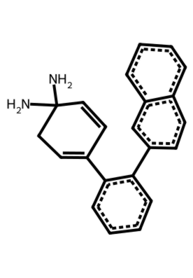 NC1(N)C=CC(c2ccccc2-c2ccc3ccccc3c2)=CC1